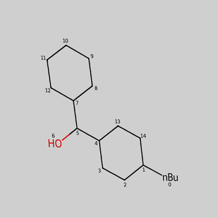 CCCCC1CCC(C(O)C2CCCCC2)CC1